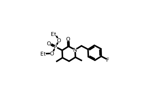 CCOP(=O)(OCC)C1C(=O)N(Cc2ccc(F)cc2)C(C)CC1C